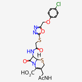 CC(=O)NCC1=C(C(=O)O)N2C(=O)C(NC(=O)CSc3nnc(COc4ccc(Cl)cc4)o3)[C@H]2SC1